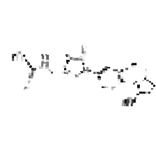 CCCC(=O)NC[C@H]1CN(c2ccc(N3C(C)CCC3CCC)c(F)c2)C(=O)O1